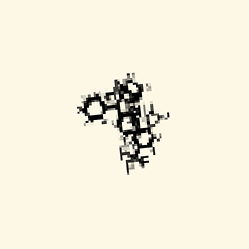 COc1ccc(C(F)(F)F)cc1CN[C@@H]1C2CCN(CC2)[C@@H]1C(c1ccccc1)c1ccccc1